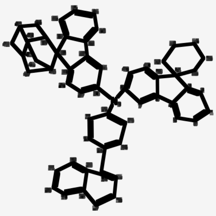 c1ccc2c(c1)-c1cc(N(c3ccc(-c4cccc5ccccc45)cc3)c3ccc4c(c3)-c3ccccc3C43C4CC5CC(C4)CC3C5)ccc1C21CCCCC1